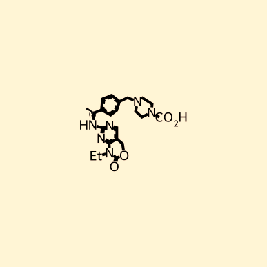 CCN1C(=O)OCc2cnc(N[C@@H](C)c3ccc(CN4CCN(C(=O)O)CC4)cc3)nc21